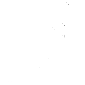 Cc1nc(C)c(-c2ccnc(Nc3ccc(N4CCN(CCOCCO)CC4)cc3)n2)s1